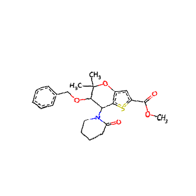 COC(=O)c1cc2c(s1)C(N1CCCCC1=O)C(OCc1ccccc1)C(C)(C)O2